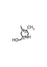 C[C@@H]1CN[C@@H](CO)CN1I